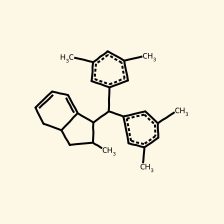 Cc1cc(C)cc(C(c2cc(C)cc(C)c2)C2C3=CC=CCC3CC2C)c1